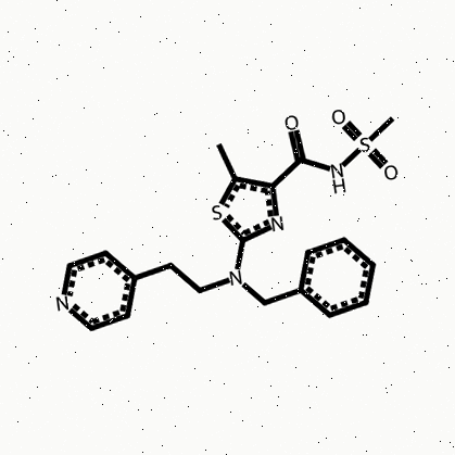 Cc1sc(N(CCc2ccncc2)Cc2ccccc2)nc1C(=O)NS(C)(=O)=O